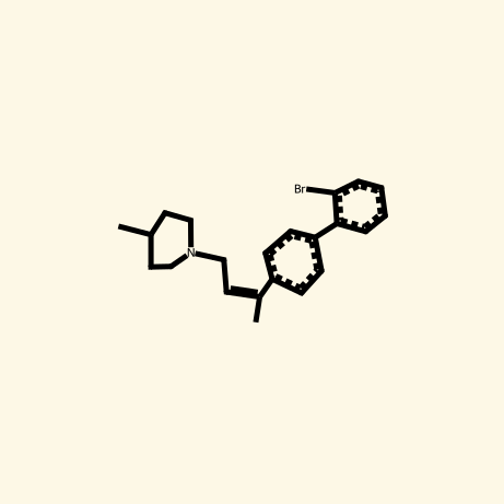 CC(=CCN1CCC(C)CC1)c1ccc(-c2ccccc2Br)cc1